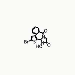 O=C1CN(C(=O)c2ccccc2)C(c2ccc(Br)s2)N1O